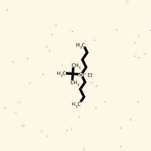 CCC[CH2][Sn+]([CH2]CCC)[C](C)(C)C.[Cl-]